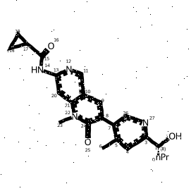 CCC[C@@H](O)c1cc(C)c(-c2cc3cnc(NC(=O)C4CC4)cc3n(C)c2=O)cn1